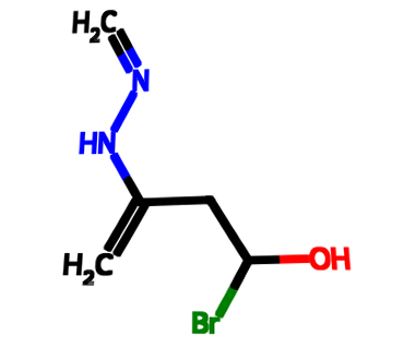 C=NNC(=C)CC(O)Br